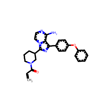 C=CC(=O)N1CCCC(c2nc(-c3ccc(Oc4ccccc4)cc3)c3c(N)nccn23)C1